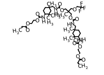 C=CC(=O)OCCOC(=O)NC1CCC(C)(CNC(=O)OCC(C)(COCC(F)(F)F)COC(=O)NCC2(C)CCC(NC(=O)OCCOC(=O)C=C)C(C)(C)C2)CC1(C)C